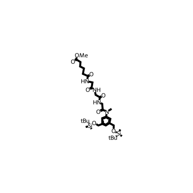 COC(=O)CCCCC(=O)NCC(=O)NCC(=O)NCC(=O)N(C)c1cc(CO[Si](C)(C)C(C)(C)C)cc(CO[Si](C)(C)C(C)(C)C)c1